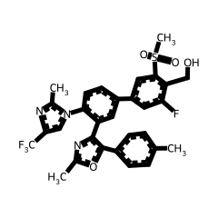 Cc1ccc(-c2oc(C)nc2-c2cc(-c3cc(F)c(CO)c(S(C)(=O)=O)c3)ccc2-n2cc(C(F)(F)F)nc2C)cc1